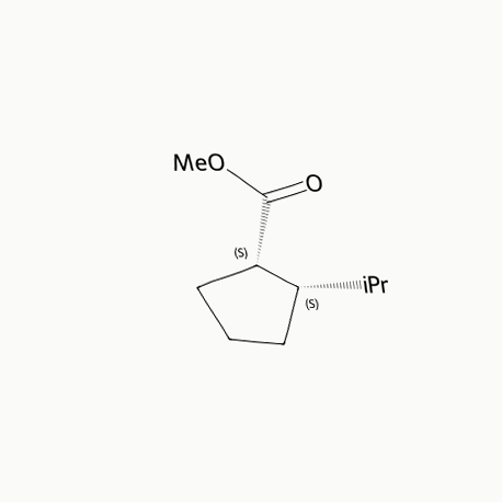 COC(=O)[C@H]1CCC[C@H]1C(C)C